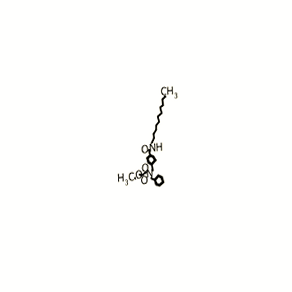 CCCCCCCCCCCCCNC(=O)c1ccc(CN(Cc2ccccc2)C(=O)C(=O)OCC)cc1